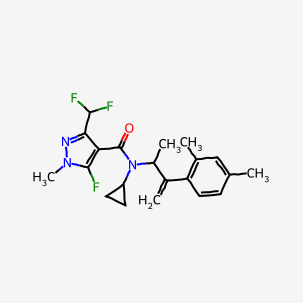 C=C(c1ccc(C)cc1C)C(C)N(C(=O)c1c(C(F)F)nn(C)c1F)C1CC1